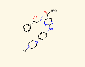 CNC(=O)c1cnc(Nc2ccc(N3CCN(C(C)=O)CC3)cc2)nc1NC[C@@H](O)c1ccccc1